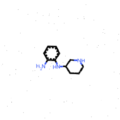 Nc1ccccc1NC1CCCNC1